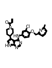 C=CC(=O)N1CCC(c2c[nH]c3ncnc(Nc4ccc(OCc5cccc(C)n5)c(Cl)c4)c23)CC1